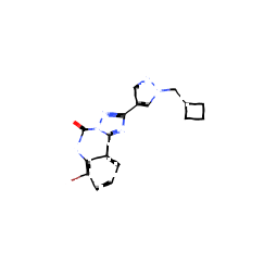 O=c1[nH]c2c(Br)cccc2c2nc(-c3cnn(CC4CCC4)c3)nn12